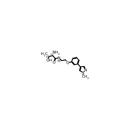 C[C@@H](O)[C@H](N)C(=O)NCCOc1c[c]cc(-c2cnn(C)c2)c1